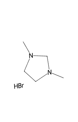 Br.CN1CCN(C)C1